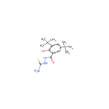 CC(C)(C)c1cc(C(=O)NNC(N)=S)c(O)c(C(C)(C)C)c1